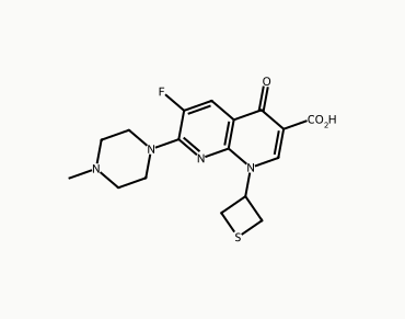 CN1CCN(c2nc3c(cc2F)c(=O)c(C(=O)O)cn3C2CSC2)CC1